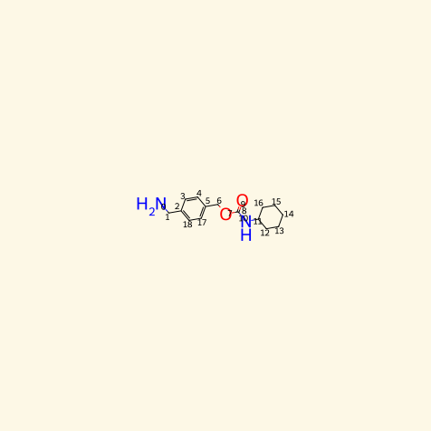 NCc1ccc(COC(=O)NC2CCCCC2)cc1